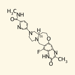 CNC(=O)c1ccc(N2CCN3Cc4c(cc5nc(C)c(=O)[nH]c5c4F)OCC[C@H]3C2)cn1